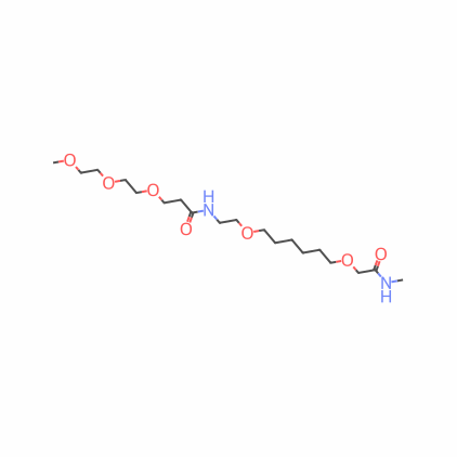 CNC(=O)COCCCCCCOCCNC(=O)CCOCCOCCOC